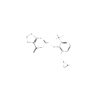 O=c1[nH]c(SCc2c(OC3CC3)ccnc2C(F)(F)F)nc2c1CCC2